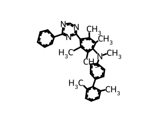 Cc1cccc(C)c1-c1ccc(N(C)c2c(C)c(C)c(-c3ncnc(-c4ccccc4)n3)c(C)c2C)cc1